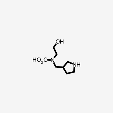 O=C(O)N(CCO)CC1CCNC1